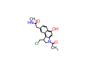 CNC(=O)Cc1ccc2c(O)cc3c(c2c1)C(CCl)CN3C(C)=O